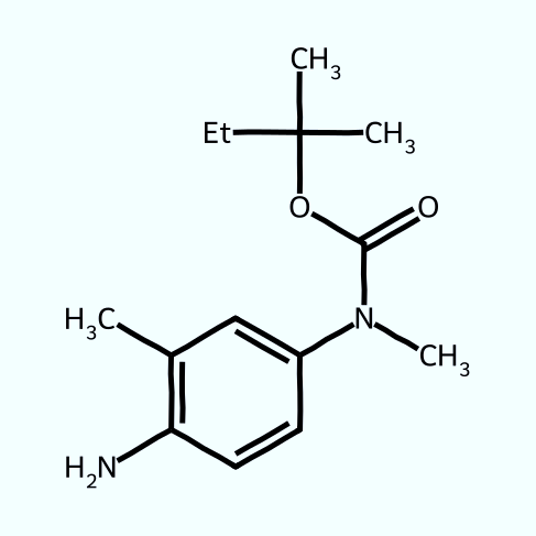 CCC(C)(C)OC(=O)N(C)c1ccc(N)c(C)c1